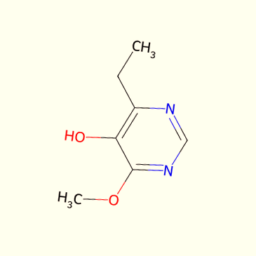 CCc1ncnc(OC)c1O